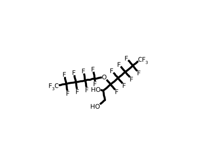 OCC(O)C(F)(OC(F)(F)C(F)(F)C(F)(F)C(F)(F)C(F)(F)F)C(F)(F)C(F)(F)C(F)(F)C(F)(F)F